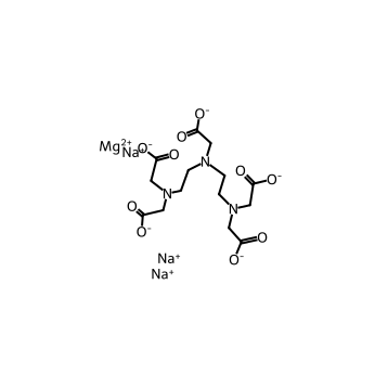 O=C([O-])CN(CCN(CC(=O)[O-])CC(=O)[O-])CCN(CC(=O)[O-])CC(=O)[O-].[Mg+2].[Na+].[Na+].[Na+]